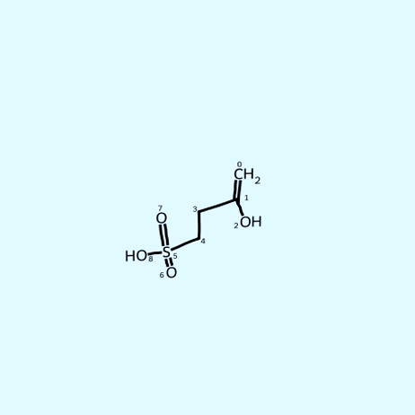 C=C(O)CCS(=O)(=O)O